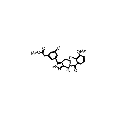 COC(=O)Cc1cc(Cl)cc(-c2c3c(nn2C)[C@H](C)N(C(=O)c2cccc(OC)c2Cl)CC3)c1